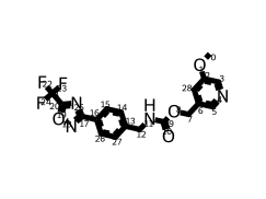 COc1cncc(COC(=O)NCc2ccc(-c3noc(C(F)(F)F)n3)cc2)c1